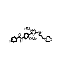 COc1cc(NC(=O)c2ccc(F)cc2)ccc1-c1nnc(NCCCN2CCOCC2)o1.Cl